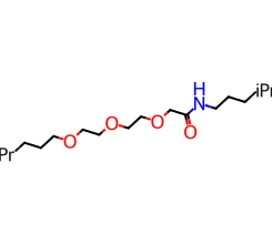 CC(C)CCCNC(=O)COCCOCCOCCCC(C)C